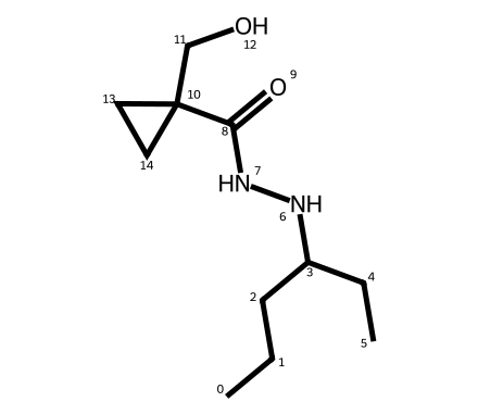 CCCC(CC)NNC(=O)C1(CO)CC1